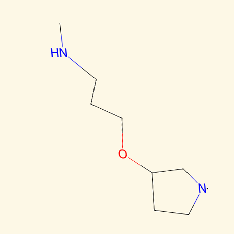 CNCCCOC1CC[N]C1